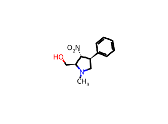 CN1C[C@H](c2ccccc2)[C@@H]([N+](=O)[O-])[C@@H]1CO